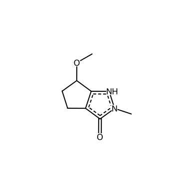 COC1CCc2c1[nH]n(C)c2=O